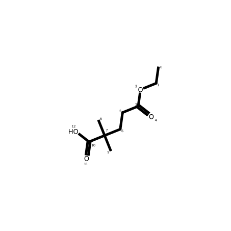 CCOC(=O)CCC(C)(C)C(=O)O